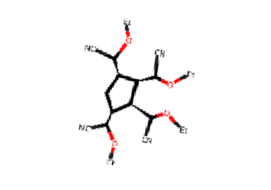 CCOC(C#N)[C@@H]1[C@H](C(C#N)OCC)[C@H](C(C#N)OCC)C[C@@H]1C(C#N)OCC